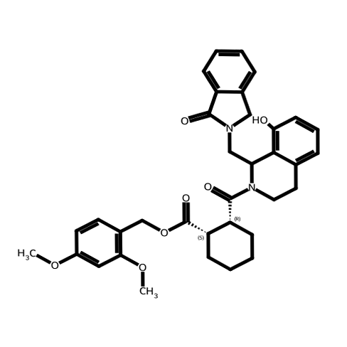 COc1ccc(COC(=O)[C@H]2CCCC[C@H]2C(=O)N2CCc3cccc(O)c3C2CN2Cc3ccccc3C2=O)c(OC)c1